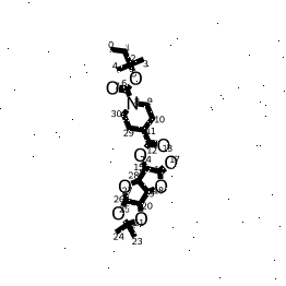 CCC(C)(C)OC(=O)N1CCC(C(=O)OC2C(=O)OC3C4OC(C)(C)OC4OC23)CC1